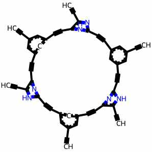 C#Cc1cc2cc(c1)C#Cc1nc(C#C)c([nH]1)C#Cc1cc(C#C)cc(c1)C#Cc1nc([nH]c1C#C)C#Cc1cc(C#C)cc(c1)C#Cc1nc([nH]c1C#C)C#C2